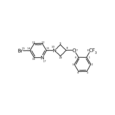 FC(F)(F)c1ccccc1OC1CN(c2ccc(Br)cn2)C1